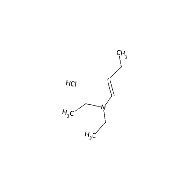 CCC=CN(CC)CC.Cl